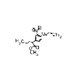 C=CCOc1ccc(C(CCC)C(=O)OC)cc1[N+](=O)[O-]